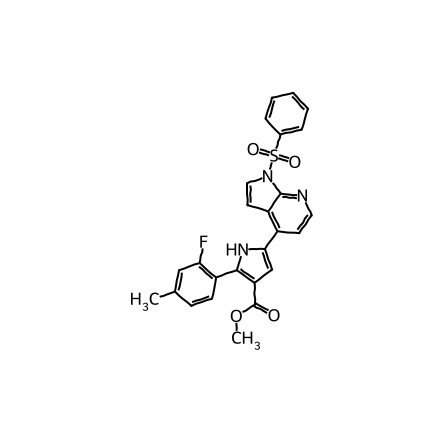 COC(=O)c1cc(-c2ccnc3c2ccn3S(=O)(=O)c2ccccc2)[nH]c1-c1ccc(C)cc1F